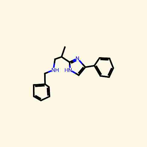 CC(CNCc1ccccc1)c1nc(-c2ccccc2)c[nH]1